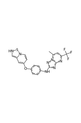 Cc1cc(C(F)(F)F)nc2nc(Nc3ccc(OC4=CC5=CNSN5C=C4)cc3)nn12